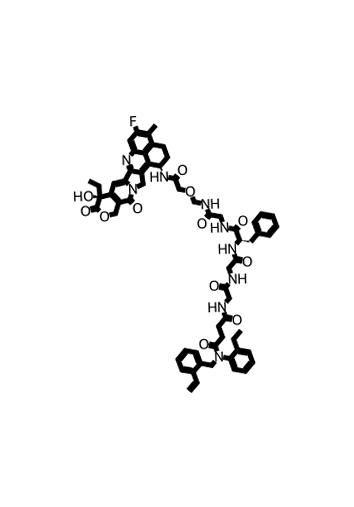 C=Cc1ccccc1CN(C(=O)CCC(=O)NCC(=O)NCC(=O)N[C@@H](Cc1ccccc1)C(=O)NCC(=O)NCOCC(=O)N[C@H]1CCc2c(C)c(F)cc3nc4c(c1c23)Cn1c-4cc2c(c1=O)COC(=O)[C@]2(O)CC)c1ccccc1CC